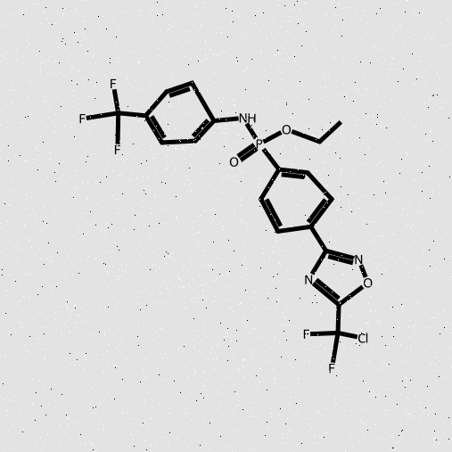 CCOP(=O)(Nc1ccc(C(F)(F)F)cc1)c1ccc(-c2noc(C(F)(F)Cl)n2)cc1